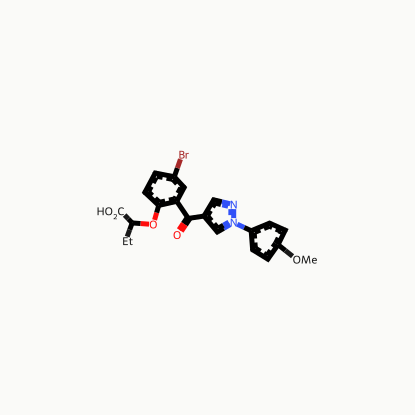 CCC(Oc1ccc(Br)cc1C(=O)c1cnn(-c2ccc(OC)cc2)c1)C(=O)O